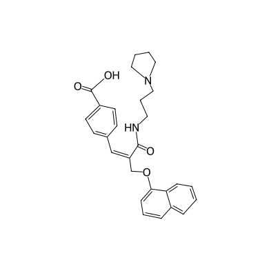 O=C(NCCCN1CCCC1)C(=Cc1ccc(C(=O)O)cc1)COc1cccc2ccccc12